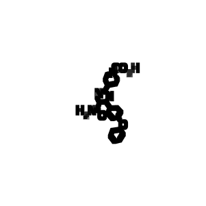 NC(=O)c1cnc(C2=CCN(C(=O)O)CC2)nc1-c1ccc(Oc2ccccc2)cc1